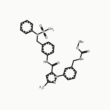 CC(C)(C)OC(=O)NCc1cccc(-n2nc(C(F)(F)F)cc2C(=O)Nc2cccc(CN(c3ccccc3)S(C)(=O)=O)c2)c1